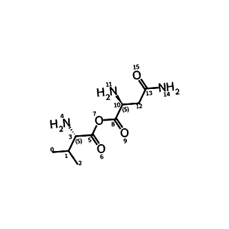 CC(C)[C@H](N)C(=O)OC(=O)[C@@H](N)CC(N)=O